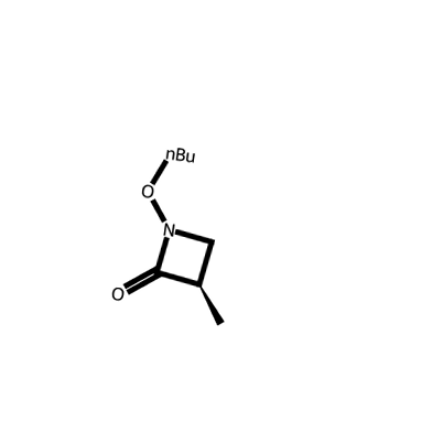 CCCCON1C[C@@H](C)C1=O